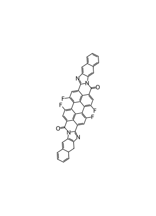 O=c1c2cc(F)c3c4c(F)cc5c6c(cc(F)c(c7c(F)cc(c2c73)c2nc3c(n12)C=C1C=CC=CC1C3)c46)c(=O)n1c2cc3ccccc3cc2nc51